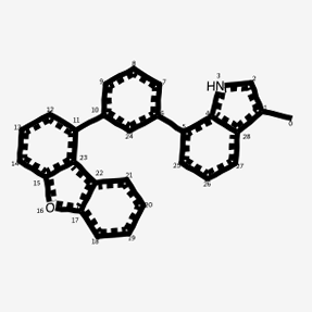 Cc1c[nH]c2c(-c3cccc(-c4cccc5oc6ccccc6c45)c3)cccc12